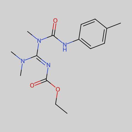 CCOC(=O)N=C(N(C)C)N(C)C(=O)Nc1ccc(C)cc1